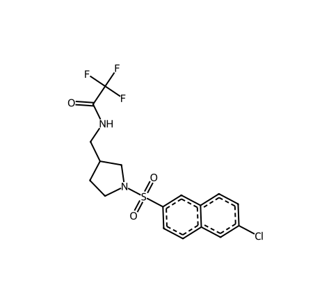 O=C(NCC1CCN(S(=O)(=O)c2ccc3cc(Cl)ccc3c2)C1)C(F)(F)F